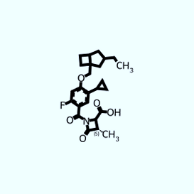 CCC1CC2CCC2(COc2cc(F)c(C(=O)N3C(=O)[C@@H](C)C3C(=O)O)cc2C2CC2)C1